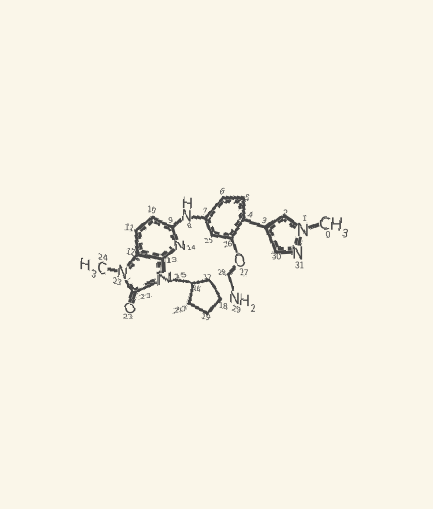 Cn1cc(-c2ccc(Nc3ccc4c(n3)n(C3CCCC3)c(=O)n4C)cc2OCN)cn1